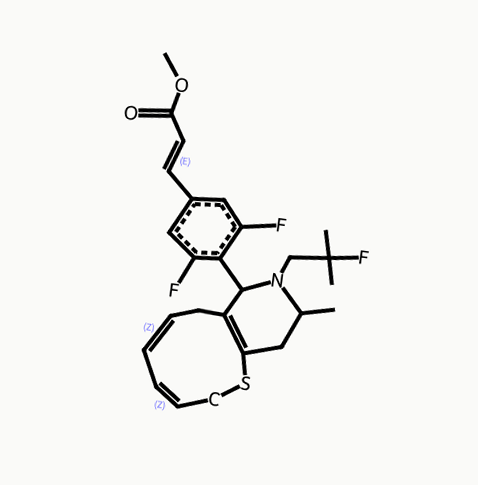 COC(=O)/C=C/c1cc(F)c(C2C3=C(CC(C)N2CC(C)(C)F)SC/C=C\C=C/C3)c(F)c1